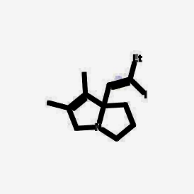 CC/C(I)=C/C12CCCN1CC(C)=C2C